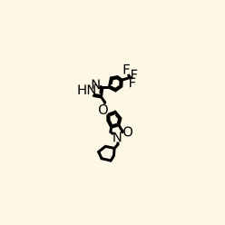 O=C1c2ccc(OCc3c[nH]nc3-c3ccc(C(F)(F)F)cc3)cc2CN1CC1CCCCC1